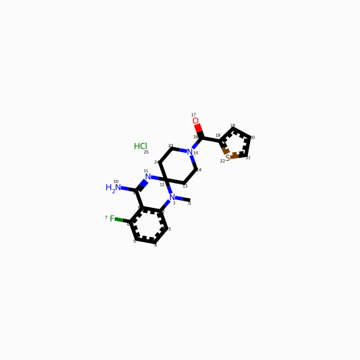 CN1c2cccc(F)c2C(N)=NC12CCN(C(=O)c1cccs1)CC2.Cl